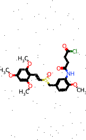 COc1cc(OC)c(/C=C/[S+]([O-])Cc2ccc(OC)c(NC(=O)CCC(=O)Cl)c2)c(OC)c1